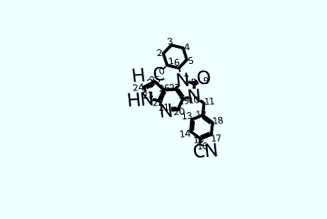 C[C@@H]1CCCC[C@@H]1n1c(=O)n(Cc2ccc(C#N)cc2)c2cnc3[nH]ccc3c21